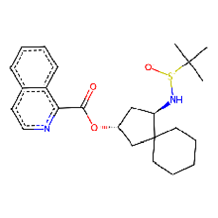 CC(C)(C)[S+]([O-])N[C@@H]1C[C@@H](OC(=O)c2nccc3ccccc23)CC12CCCCC2